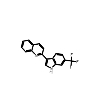 FC(F)(F)c1ccc2c(-c3ccc4ccccc4n3)c[nH]c2c1